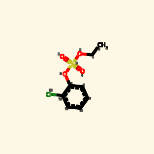 CCOS(=O)(=O)Oc1ccccc1Cl